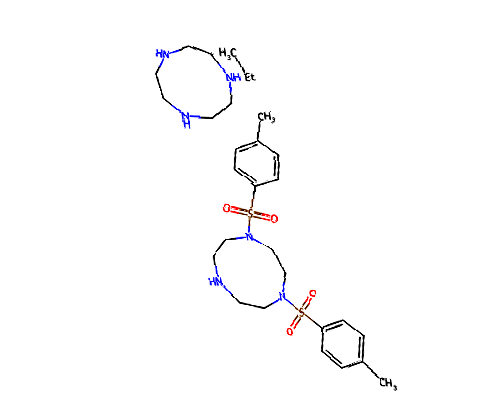 C1CNCCNCCN1.CCC.Cc1ccc(S(=O)(=O)N2CCNCCN(S(=O)(=O)c3ccc(C)cc3)CC2)cc1